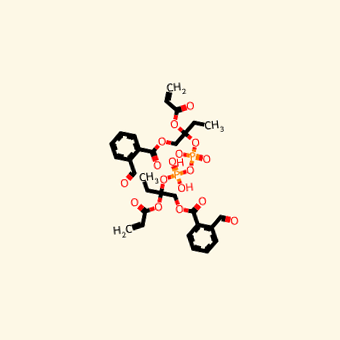 C=CC(=O)OC(CC)(COC(=O)c1ccccc1C=O)OP(=O)(O)OP(=O)(O)OC(CC)(COC(=O)c1ccccc1C=O)OC(=O)C=C